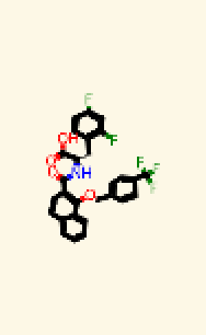 O=C(N[C@@H](Cc1ccc(F)cc1F)C(=O)O)c1ccc2ccccc2c1OCc1ccc(C(F)(F)F)cc1